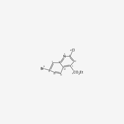 CCOC(=O)c1cc(Cl)nc2cc(Br)ccc12